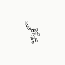 Cl.O=C(O)c1cnn(C2CCCN(c3cc(Cl)ccc3-c3ccc(N4CCN(CC5CC(F)(F)C5)CC4)cc3)C2)c1C(F)F